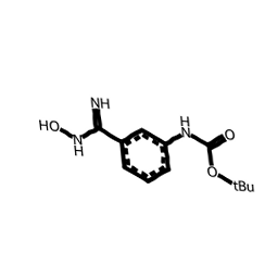 CC(C)(C)OC(=O)Nc1cccc(C(=N)NO)c1